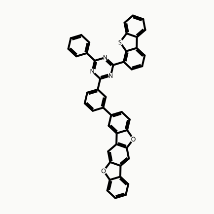 c1ccc(-c2nc(-c3cccc(-c4ccc5oc6cc7c(cc6c5c4)oc4ccccc47)c3)nc(-c3cccc4c3sc3ccccc34)n2)cc1